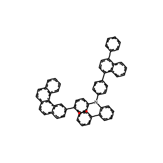 c1ccc(-c2ccccc2N(c2ccc(-c3ccc4ccc5ccc6ccccc6c5c4c3)cc2)c2ccc(-c3ccc(-c4ccccc4)c4ccccc34)cc2)cc1